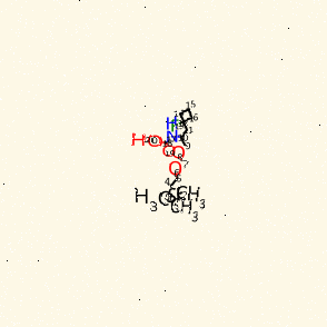 C[Si](C)(C)CCOCOCC(CC1(F)CCC1)NC(=O)O